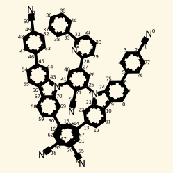 N#Cc1ccc(-c2ccc3c4ccc(-c5ccc(C#N)cc5)cc4n(-c4cc(-c5cccc(-c6ccccc6)n5)cc(-n5c6cc(-c7ccc(C#N)cc7)ccc6c6ccc(-c7ccc(C#N)cc7)cc65)c4C#N)c3c2)cc1